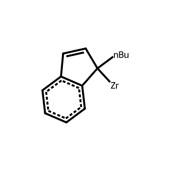 CCCC[C]1([Zr])C=Cc2ccccc21